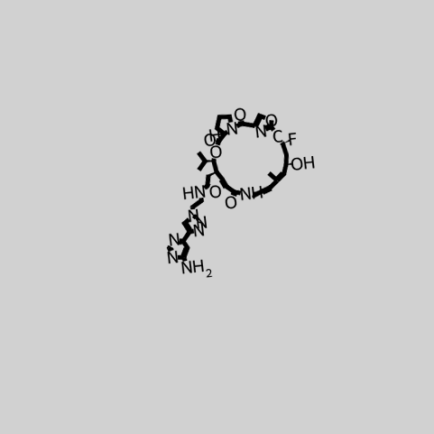 CC1=C\[C@@H](O)C[C@@H](F)Cc2nc(co2)C(=O)N2CCC[C@@H]2C(=O)O[C@H](C(C)C)[C@H](CC(=O)NCCn2cc(-c3cc(N)ncn3)nn2)/C=C/C(=O)NC\C=C\1